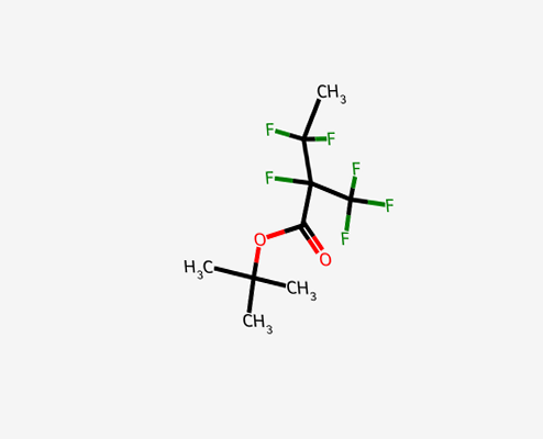 CC(C)(C)OC(=O)C(F)(C(C)(F)F)C(F)(F)F